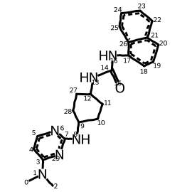 CN(C)c1ccnc(NC2CCC(NC(=O)Nc3cccc4ccccc34)CC2)n1